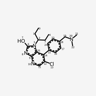 CCC(CC)n1c(O)nc2ncc(Cl)c(-c3ccc(CN(C)C)cc3)c21